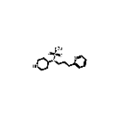 CCCCS(=O)(=O)N(CCCc1ccccn1)C1CCNCC1